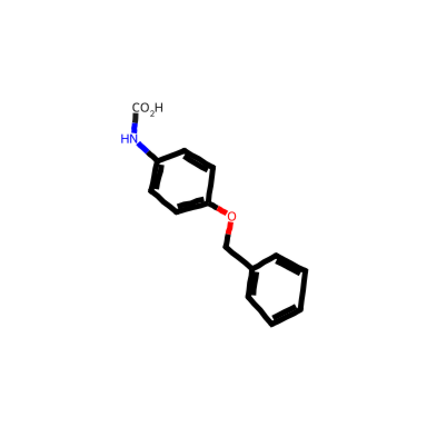 O=C(O)Nc1ccc(OCc2ccccc2)cc1